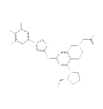 Cc1cc(-n2cnc(Nc3nc4c(c(N5CCC[C@H]5CO)n3)CCN(CC(N)=O)C4)c2)cc(C)c1C